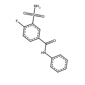 NS(=O)(=O)c1cc(C(=O)Nc2ccccc2)ccc1F